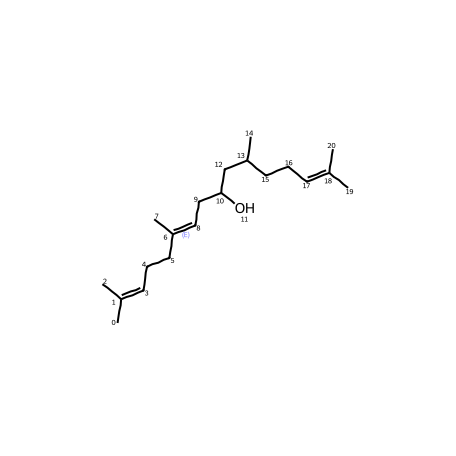 CC(C)=CCC/C(C)=C/CC(O)CC(C)CCC=C(C)C